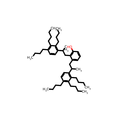 CCCCc1ccc(C(C)Cc2cccc(O)c2CC(C)c2ccc(CCCC)c(CCCC)c2CCCC)c(CCCC)c1CCCC